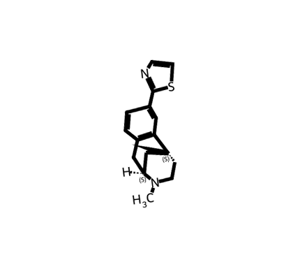 CN1CC[C@@]23CCCCC2[C@@H]1Cc1ccc(-c2nccs2)cc13